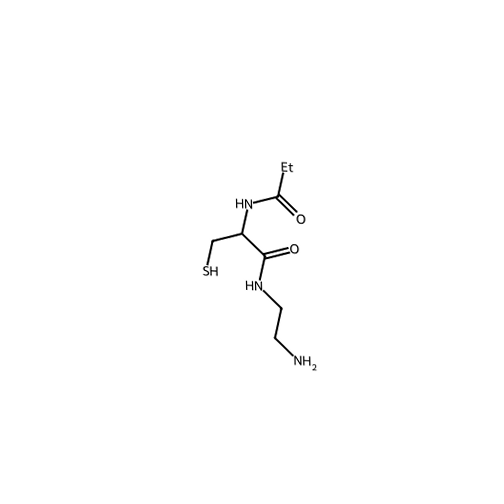 CCC(=O)NC(CS)C(=O)NCCN